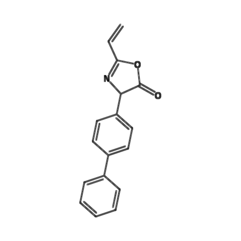 C=CC1=NC(c2ccc(-c3ccccc3)cc2)C(=O)O1